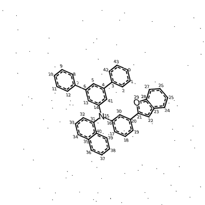 c1ccc(-c2cc(-c3ccccc3)cc(N(c3cccc(-c4cc5ccccc5o4)c3)c3cccc4ccccc34)c2)cc1